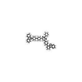 c1ccc(-c2nc(-c3ccc(-c4ccc(-n5c6ccccc6c6ccccc65)cc4)cc3)cc(-c3ccc(-c4cccc5c4oc4ccccc45)cc3)n2)cc1